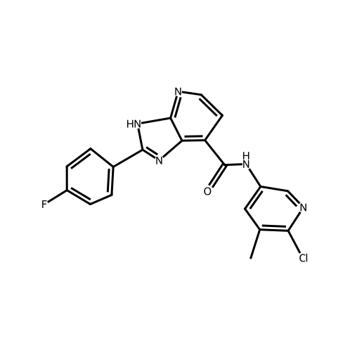 Cc1cc(NC(=O)c2ccnc3[nH]c(-c4ccc(F)cc4)nc23)cnc1Cl